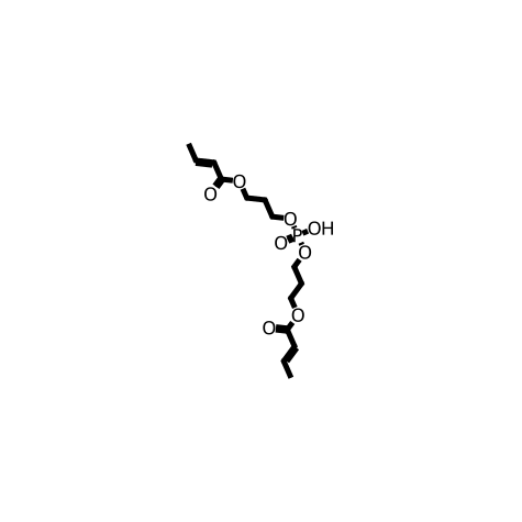 CC=CC(=O)OCCCOP(=O)(O)OCCCOC(=O)C=CC